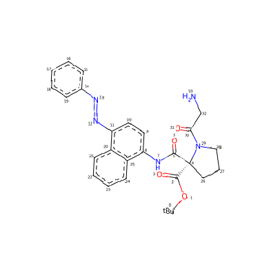 CC(C)(C)OC(=O)[C@@]1(C(=O)Nc2ccc(N=Nc3ccccc3)c3ccccc23)CCCN1C(=O)CN